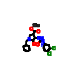 CC(C)(C)OC(=O)C1CN(Cc2ccccc2)C(=O)C1NC(=O)Nc1ccc(Cl)c(Cl)c1